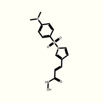 CN(C)c1ccc(S(=O)(=O)n2ccc(C=CC(=O)NO)c2)cc1